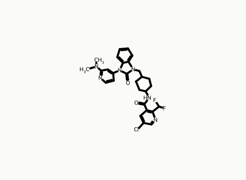 CN(C)c1cc(-n2c(=O)n(CC3CCC(NC(=O)c4cc(Cl)cnc4C(F)F)CC3)c3ccccc32)ccn1